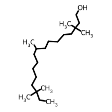 CCC(C)(C)CCCCCC(C)CCCCCC(C)(C)CCO